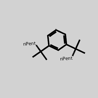 CCCCCC(C)(C)c1c[c]cc(C(C)(C)CCCCC)c1